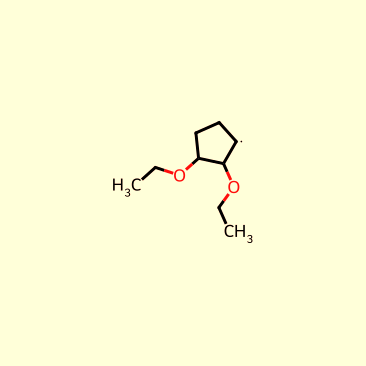 CCOC1[CH]CCC1OCC